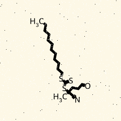 CCCCCCCCCCCCSC(=S)SC(C)(C#N)CCC=O